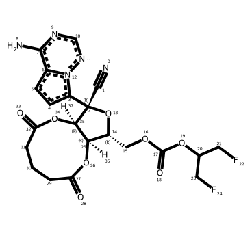 N#C[C@@]1(c2ccc3c(N)ncnn23)O[C@H](COC(=O)OC(CF)CF)[C@H]2OC(=O)CCCC(=O)O[C@H]21